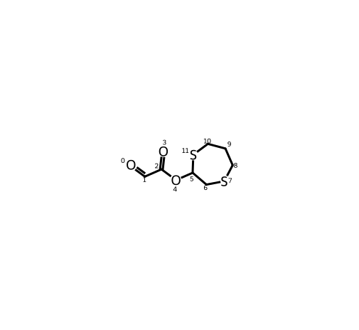 O=CC(=O)OC1CSCCCS1